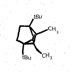 CC1=C(C)C2(C(C)(C)C)CCC1(C(C)(C)C)O2